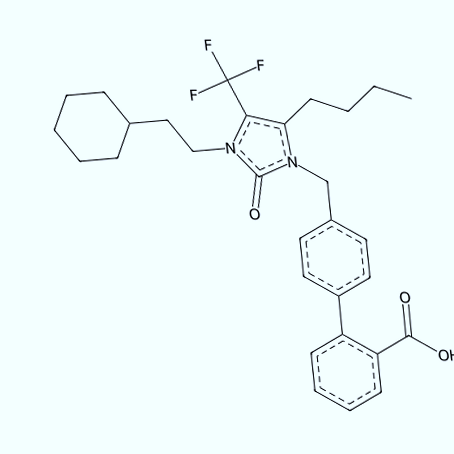 CCCCc1c(C(F)(F)F)n(CCC2CCCCC2)c(=O)n1Cc1ccc(-c2ccccc2C(=O)O)cc1